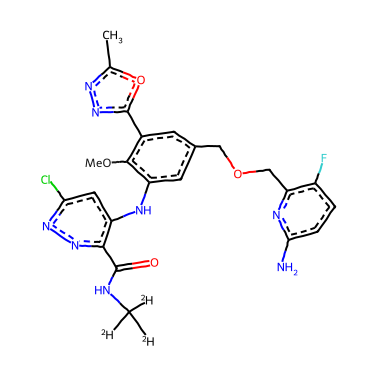 [2H]C([2H])([2H])NC(=O)c1nnc(Cl)cc1Nc1cc(COCc2nc(N)ccc2F)cc(-c2nnc(C)o2)c1OC